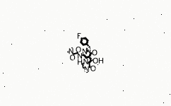 CN(C)C(=O)C(=O)Nc1nn(Cc2ccc(F)cc2)c(=O)c2c(O)c3n(c12)CCN(C)C3=O